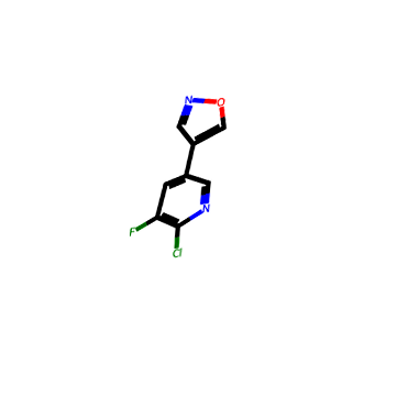 Fc1cc(-c2cnoc2)cnc1Cl